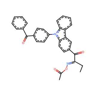 CCC(=NOC(C)=O)C(=O)c1ccc2c(c1)c1ccccc1n2-c1ccc(C(=O)c2ccccc2)cc1